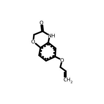 C=CCOc1ccc2c(c1)NC(=O)CO2